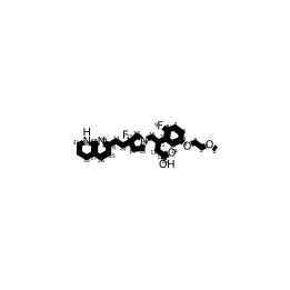 COCCOc1ccc(F)c(C(CC(=O)O)CN2CC[C@@](F)(CCc3ccc4c(n3)NCCC4)C2)c1